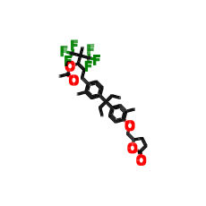 CCC(CC)(c1ccc(CCC(OC(C)=O)C(C)(C(F)(F)F)C(F)(F)F)c(C)c1)c1ccc(OCC2CCC(=O)O2)c(C)c1